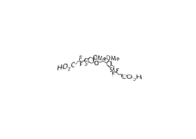 COc1cc2cc(C(F)(F)CCC(=O)O)sc2cc1CCCOc1cc2sc(C(F)(F)CCC(=O)O)cc2cc1OC